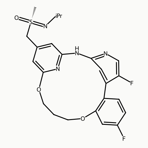 CC(C)N=[S@](C)(=O)Cc1cc2nc(c1)OCCCOc1cc(F)ccc1-c1cc(ncc1F)N2